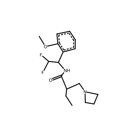 CCC(CN1CCC1)C(=O)NC(c1ccccc1OC)C(F)F